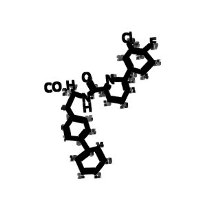 O=C(N[C@@H](Cc1ccc(-c2ccccc2)cc1)C(=O)O)c1cccc(-c2ccc(F)c(Cl)c2)n1